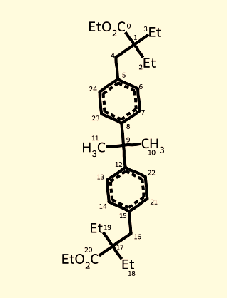 CCOC(=O)C(CC)(CC)Cc1ccc(C(C)(C)c2ccc(CC(CC)(CC)C(=O)OCC)cc2)cc1